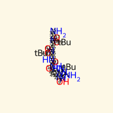 CCCCNc1nc(N)c2nc(O)n(Cc3ccc(C(=O)NCC(=O)NCCCN(CCCCN(CCCN)C(=O)OC(C)(C)C)C(=O)OC(C)(C)C)cc3)c2n1